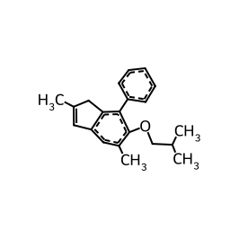 CC1=Cc2cc(C)c(OCC(C)C)c(-c3ccccc3)c2C1